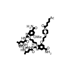 CCN/C(=C\C(C)=N)C(=O)Nc1nc2cc(C(N)=O)cc(OC)c2n1C/C=C/Cn1c(NC(=O)/C(=C/C(C)=N)NCC)nc2cc(C(N)=O)cc(OCCCN3CCN(C(=O)CCCCC(C)=O)CC3)c21